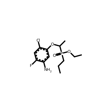 CCCP(=O)(OCC)C(C)Oc1cc(N)c(F)cc1Cl